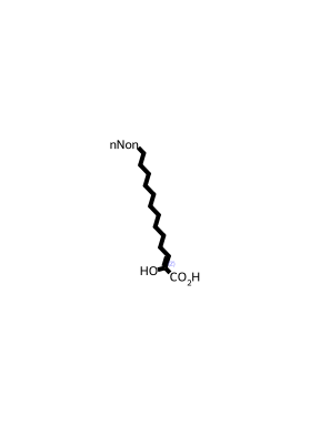 CCCCCCCCCCCCCCCCCCC/C=C(\O)C(=O)O